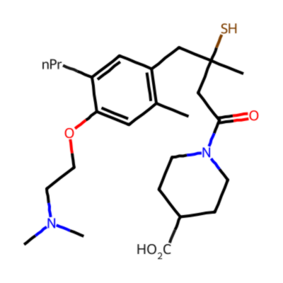 CCCc1cc(CC(C)(S)CC(=O)N2CCC(C(=O)O)CC2)c(C)cc1OCCN(C)C